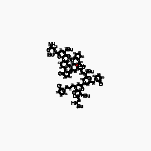 CCC(C)NCC(=O)N(CC(=O)N(CCCN1CCCC1=O)CC(=O)N(CCCN1CCCC1=O)CC(=O)N(CC(=O)N(CC(=O)N(CCCN1CCCC1=O)CC(=O)N(CCCN1CCCC1=O)CC(=O)N(CC(=O)N(CC(N)=O)C(C)CC)C(C)CC)C(C)CC)C(C)CC)C(C)CC